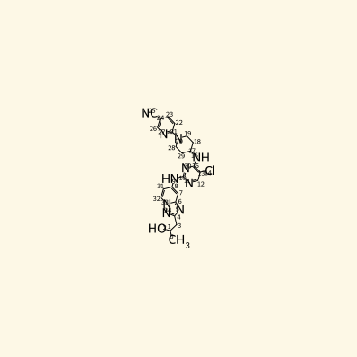 CC(O)Cc1nc2cc(Nc3ncc(Cl)c(NC4CCN(c5ccc(C#N)cn5)CC4)n3)ccn2n1